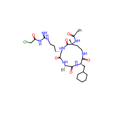 CC[C@@H]1NC(=O)[C@H](CCCNC(=N)NC(=O)CCl)NC(=O)[C@](C)(NC(=O)C(C)C)CCNC(=O)[C@@H](CC2CCCCC2)NC1=O